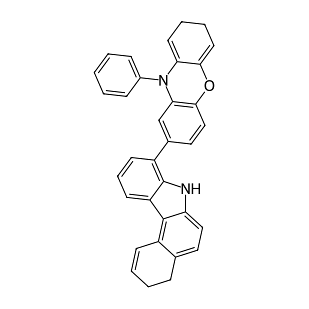 C1=Cc2c(ccc3[nH]c4c(-c5ccc6c(c5)N(c5ccccc5)C5=CCCC=C5O6)cccc4c23)CC1